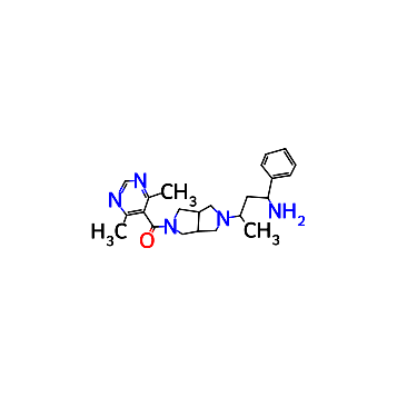 Cc1ncnc(C)c1C(=O)N1CC2CN(C(C)CC(N)c3ccccc3)CC2C1